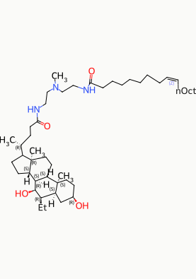 CCCCCCCC/C=C\CCCCCCCC(=O)NCCN(C)CCNC(=O)CC[C@@H](C)C1CC[C@H]2[C@@H]3[C@H](O)[C@H](CC)[C@@H]4C[C@H](O)CC[C@]4(C)[C@H]3CC[C@]12C